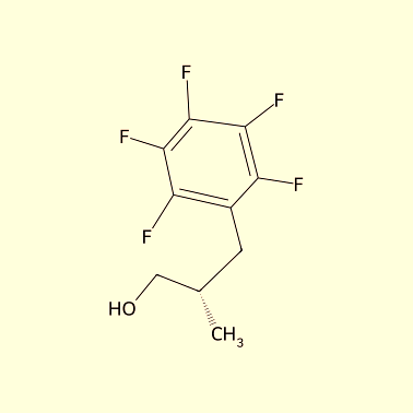 C[C@H](CO)Cc1c(F)c(F)c(F)c(F)c1F